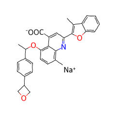 Cc1c(-c2cc(C(=O)[O-])c3c(OC(C)c4ccc(C5COC5)cc4)ccc(C)c3n2)oc2ccccc12.[Na+]